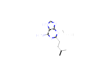 C=C(C)CCc1nc(N)c2[nH]cnc2n1.CS(=O)(=O)O